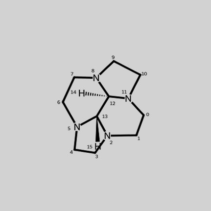 C1CN2CCN3CCN4CCN1[C@H]4[C@H]23